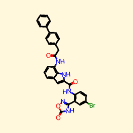 O=C(Cc1ccc(-c2ccccc2)cc1)Nc1cccc2cc(C(=O)Nc3ccc(Br)cc3-c3noc(=O)[nH]3)[nH]c12